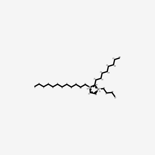 CCCCCCCCCCCCn1cc[n+](CCCC)c1CCCCCCCC